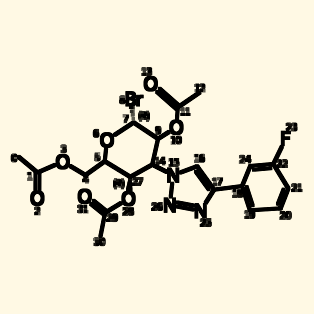 CC(=O)OCC1O[C@H](Br)C(OC(C)=O)C(n2cc(-c3cccc(F)c3)nn2)[C@H]1OC(C)=O